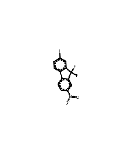 O=[N+]([O-])c1ccc2c(c1)C(F)(F)c1cc(I)ccc1-2